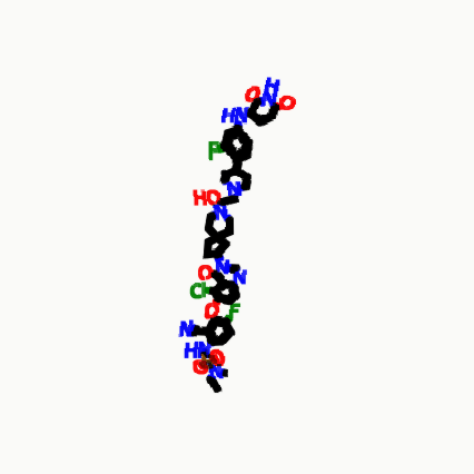 CCN(C)S(=O)(=O)Nc1ccc(F)c(Oc2ccc3ncn(C4CCC5(CCN(C(O)CN6CCC(c7ccc(NC8CCC(=O)NC8=O)cc7F)CC6)CC5)C4)c(=O)c3c2Cl)c1C#N